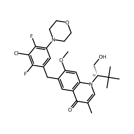 COc1cc2c(cc1Cc1cc(N3CCOCC3)c(F)c(Cl)c1F)c(=O)c(C)cn2[C@H](CO)C(C)(C)C